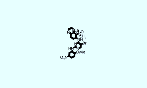 COc1ccc([N+](=O)[O-])cc1Nc1ncc(Br)c(Nc2ccc3nccnc3c2P(C)(C)=O)n1